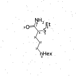 CCCCCCCCCC(SCC)C(N)=O